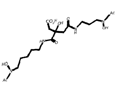 CC(=O)N(O)CCCCCNC(=O)C(O)(CC(=O)O)CC(=O)NCCCN(O)C(C)=O